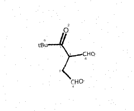 CC(C)(C)C(=O)C([C]=O)C[C]=O